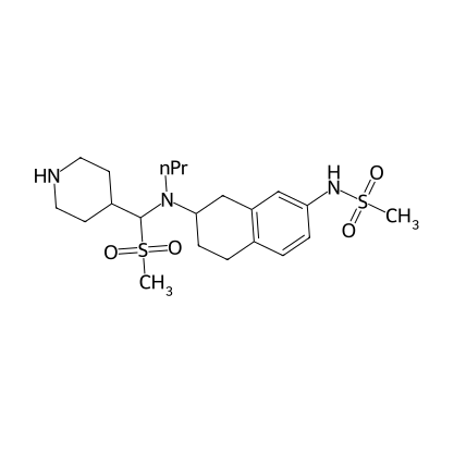 CCCN(C1CCc2ccc(NS(C)(=O)=O)cc2C1)C(C1CCNCC1)S(C)(=O)=O